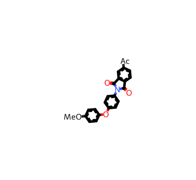 COc1ccc(Oc2ccc(N3C(=O)c4ccc(C(C)=O)cc4C3=O)cc2)cc1